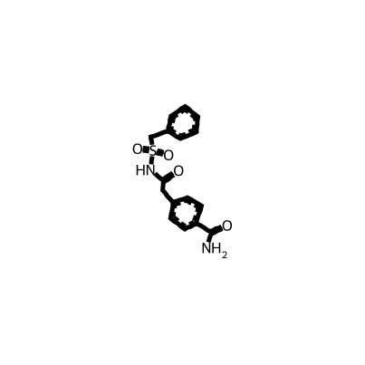 NC(=O)c1ccc(CC(=O)NS(=O)(=O)Cc2ccccc2)cc1